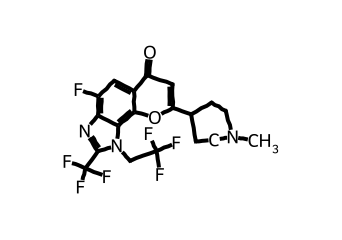 CN1CCC(c2cc(=O)c3cc(F)c4nc(C(F)(F)F)n(CC(F)(F)F)c4c3o2)CC1